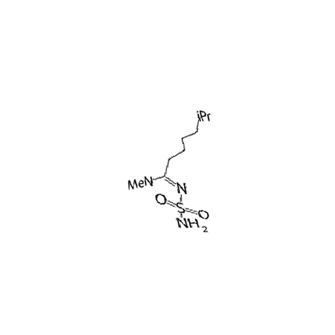 CN/C(CCCCC(C)C)=N\S(N)(=O)=O